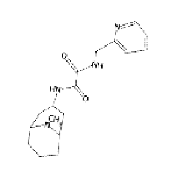 CN1C2CCCC1CC(NC(=O)C(=O)NCc1ccccn1)C2